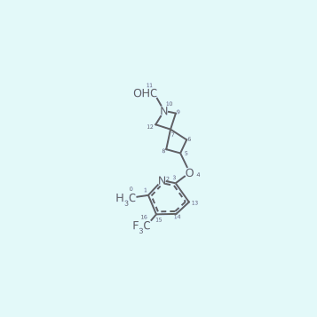 Cc1nc(OC2CC3(C2)CN(C=O)C3)ccc1C(F)(F)F